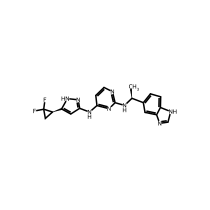 C[C@H](Nc1nccc(Nc2cc([C@H]3CC3(F)F)[nH]n2)n1)c1ccc2[nH]cnc2c1